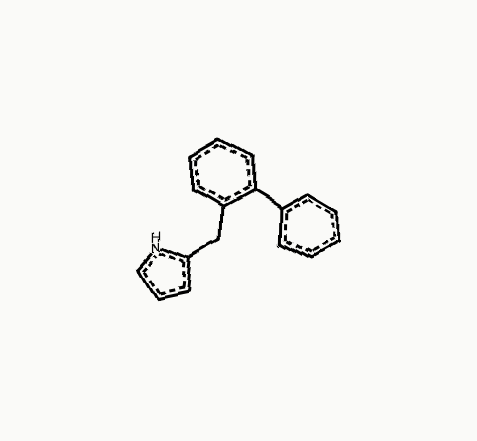 c1ccc(-c2ccccc2Cc2ccc[nH]2)cc1